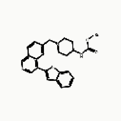 CC(C)(C)OC(=O)NC1CCN(Cc2ccc3cncc(-c4cc5ccccc5o4)c3c2)CC1